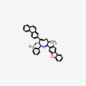 CC[C@H]1/C(c2ccc3c(ccc4ccccc43)c2)=C/CC(C)/C(c2cc3oc4ccccc4c3cc2Cl)=N\C1c1ccccc1